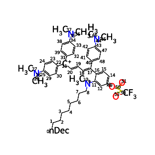 CCCCCCCCCCCCCCCCCCN(C)c1ccccc1C(=CC=C[C+](c1ccc(N(C)C)cc1)c1ccc(N(C)C)cc1)c1ccc(N(C)C)cc1.O=S(=O)([O-])C(F)(F)F